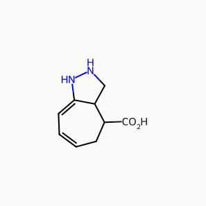 O=C(O)C1CC=CC=C2NNCC21